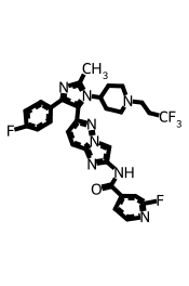 Cc1nc(-c2ccc(F)cc2)c(-c2ccc3nc(NC(=O)c4ccnc(F)c4)cn3n2)n1C1CCN(CCC(F)(F)F)CC1